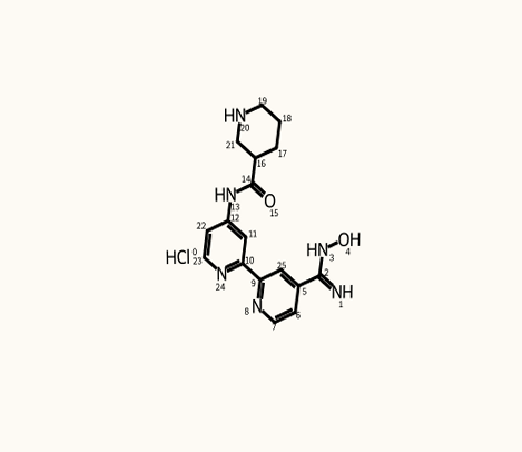 Cl.N=C(NO)c1ccnc(-c2cc(NC(=O)C3CCCNC3)ccn2)c1